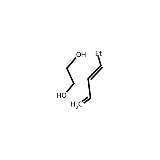 C=CC=CCC.OCCO